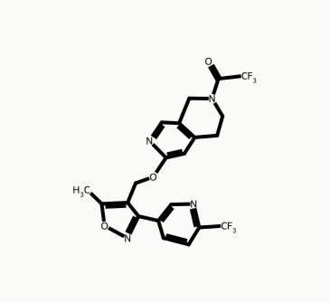 Cc1onc(-c2ccc(C(F)(F)F)nc2)c1COc1cc2c(cn1)CN(C(=O)C(F)(F)F)CC2